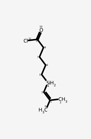 CC(C)=C[SiH2]CCCCC(=O)Cl